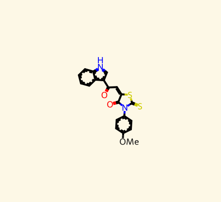 COc1ccc(N2C(=O)C(=CC(=O)c3c[nH]c4ccccc34)SC2=S)cc1